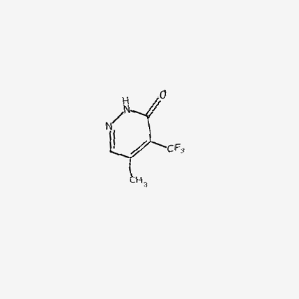 Cc1cn[nH]c(=O)c1C(F)(F)F